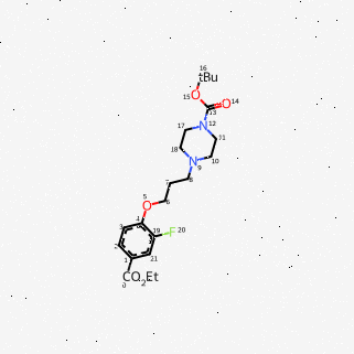 CCOC(=O)c1ccc(OCCCN2CCN(C(=O)OC(C)(C)C)CC2)c(F)c1